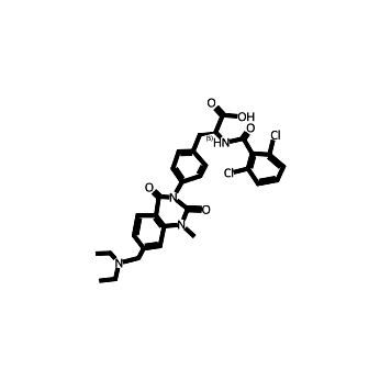 CCN(CC)Cc1ccc2c(=O)n(-c3ccc(C[C@H](NC(=O)c4c(Cl)cccc4Cl)C(=O)O)cc3)c(=O)n(C)c2c1